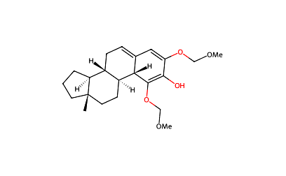 COCOC1=CC2=CC[C@@H]3[C@H](CC[C@]4(C)CCC[C@@H]34)[C@H]2C(OCOC)=C1O